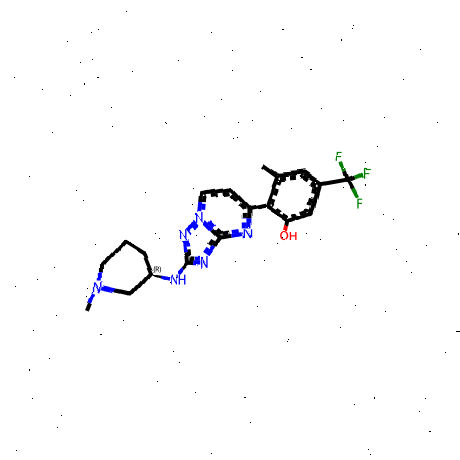 Cc1cc(C(F)(F)F)cc(O)c1-c1ccn2nc(N[C@@H]3CCCN(C)C3)nc2n1